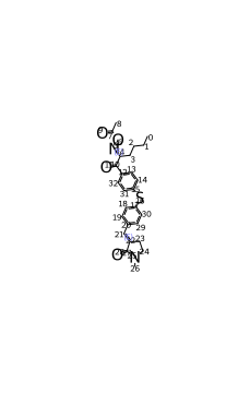 CCCC/C(=N\OC(C)=O)C(=O)c1ccc(Sc2ccc(/C=C3\CCN(C)C3=O)cc2)cc1